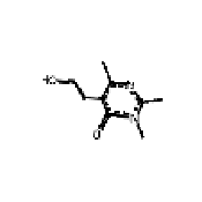 Cc1nc(C)n(C)c(=O)c1CCO